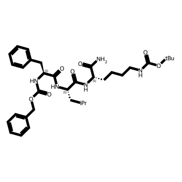 CC(C)C[C@H](NC(=O)[C@H](Cc1ccccc1)NC(=O)OCc1ccccc1)C(=O)N[C@@H](CCCCNC(=O)OC(C)(C)C)C(N)=O